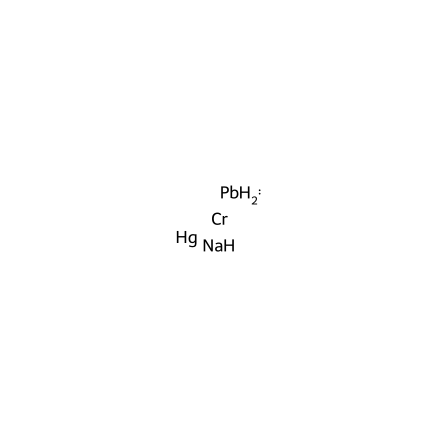 [Cr].[Hg].[NaH].[PbH2]